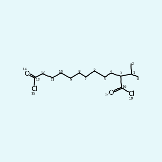 CC(C)C(CCCCCCCCCC(=O)Cl)C(=O)Cl